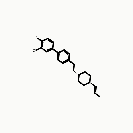 CC=C[C@H]1CC[C@H](CCc2ccc(-c3ccc(F)c(Cl)c3)cc2)CC1